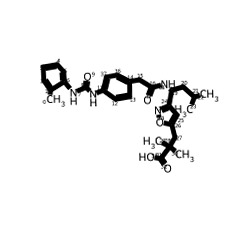 Cc1ccccc1NC(=O)Nc1ccc(CC(=O)NC(CC(C)C)c2cc(CC(C)(C)C(=O)O)on2)cc1